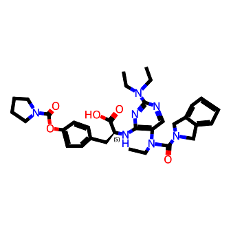 CCN(CC)c1ncc(N(CC)C(=O)N2Cc3ccccc3C2)c(N[C@@H](Cc2ccc(OC(=O)N3CCCC3)cc2)C(=O)O)n1